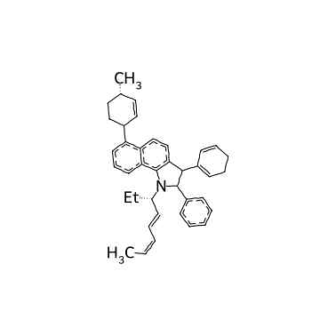 C/C=C\C=C\[C@H](CC)N1c2c(ccc3c(C4C=C[C@@H](C)CC4)cccc23)C(C2=CCCC=C2)C1c1ccccc1